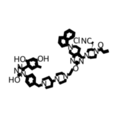 C=CC(=O)N1CCN(c2nc(OCCN3CCN(C4CCN(Cc5ccc(-n6c(O)nnc6-c6cc(C)c(O)cc6O)cc5)CC4)CC3)nc3c2CCN(c2cccc4cccc(Cl)c24)C3)C[C@@H]1CC#N